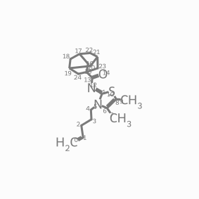 C=CCCCn1c(C)c(C)sc1=NC(=O)C12CC3CC(CC(C3)C1)C2